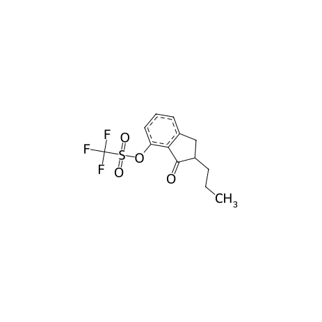 CCCC1Cc2cccc(OS(=O)(=O)C(F)(F)F)c2C1=O